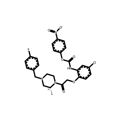 C[C@@H]1CN(Cc2ccc(F)cc2)CCN1C(=O)COc1ccc(Cl)cc1NC(=O)Oc1ccc([N+](=O)[O-])cc1